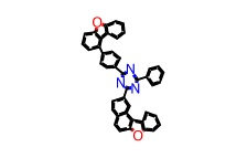 c1ccc(-c2nc(-c3ccc(-c4cccc5oc6ccccc6c45)cc3)nc(-c3ccc4ccc5oc6ccccc6c5c4c3)n2)cc1